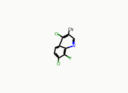 N#Cc1cnc2c(F)c(Cl)ccc2c1Cl